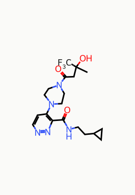 CC(O)(CC(=O)N1CCN(c2ccnnc2C(=O)NCCC2CC2)CC1)C(F)(F)F